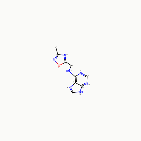 Cc1noc(CNc2ncnc3[nH]cnc23)n1